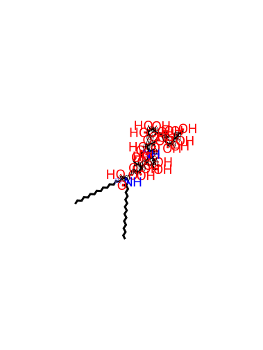 CCCCCCCCCCCCC/C=C/[C@@H](O)[C@H](CO[C@@H]1OC(CO)[C@@H](O[C@@H]2OC(CO)[C@H](O)[C@H](O[C@@H]3OC(CO)[C@@H](O[C@@H]4OC(CO[C@]5(C(=O)O)CC(O)[C@@H](O)C([C@H](O)[C@H](O)CO)O5)[C@H](O)[C@H](O)C4O)[C@H](O)C3NC(C)=O)C2O)[C@H](O)C1O)NC(=O)CCCCCCCCCCCCCCC